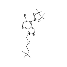 CC1(C)OB(c2c(F)cnc3c2cnn3COCC[Si](C)(C)C)OC1(C)C